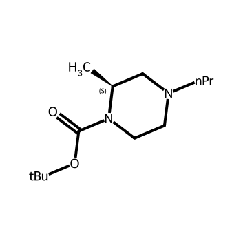 CCCN1CCN(C(=O)OC(C)(C)C)[C@@H](C)C1